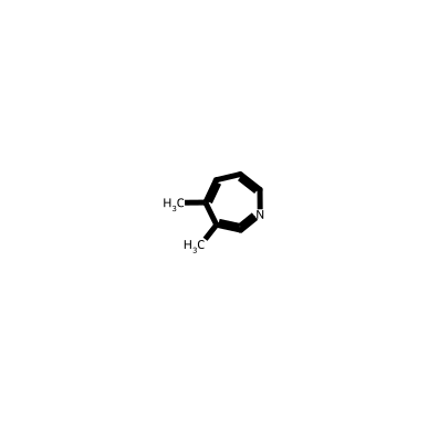 CC1=C=NC=CC=C1C